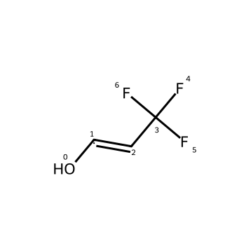 O/[C]=C/C(F)(F)F